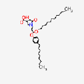 CCCCCCCCCCCCCOC(CCN1CC(C(=O)O)CC1=O)Oc1ccc(CCCCCCCCC)cc1